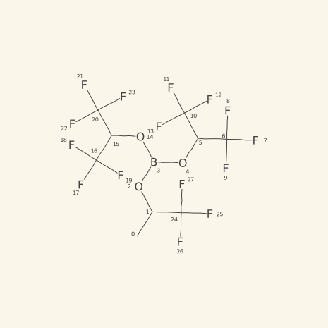 CC(OB(OC(C(F)(F)F)C(F)(F)F)OC(C(F)(F)F)C(F)(F)F)C(F)(F)F